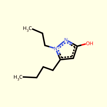 CCCCc1cc(O)nn1CCC